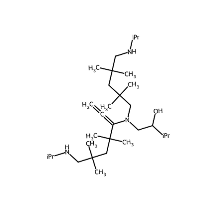 C=C=C(N(CC(O)C(C)C)CC(C)(C)CC(C)(C)CNC(C)C)C(C)(C)CC(C)(C)CNC(C)C